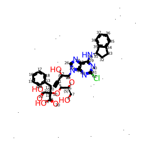 C#C[C@@H](O)[C@@H](O[C@@H](CO)COC(Cc1ccccc1)(C(=O)O)C(=O)O)n1cnc2c(N[C@H]3CCc4ccccc43)nc(Cl)nc21